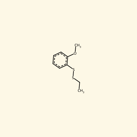 CCSSc1ccccc1OC